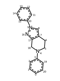 c1ccc(N2CCc3cn(-c4ccccc4)nc3C2)cc1